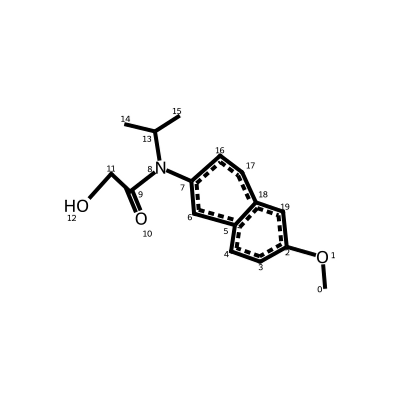 COc1ccc2cc(N(C(=O)CO)C(C)C)ccc2c1